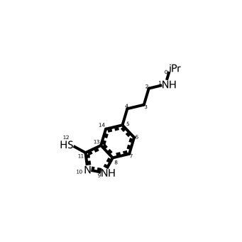 CC(C)NCCCc1ccc2[nH]nc(S)c2c1